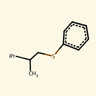 CC(C)C(C)CSc1ccccc1